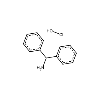 NC(c1ccccc1)c1ccccc1.OCl